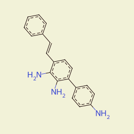 Nc1ccc(-c2ccc(C=Cc3ccccc3)c(N)c2N)cc1